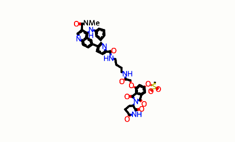 CNC(=O)c1cnc2ccc(-c3ccc(C(=O)NCCCCNC(=O)COc4cc(OS(C)(=O)=O)cc5c4C(=O)N(C4CCC(=O)NC4=O)C5=O)nc3)cc2c1Nc1ccccc1